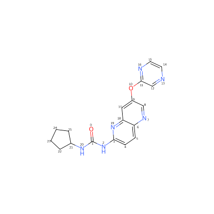 O=C(Nc1ccc2ncc(Oc3cnccn3)cc2n1)NC1CCCC1